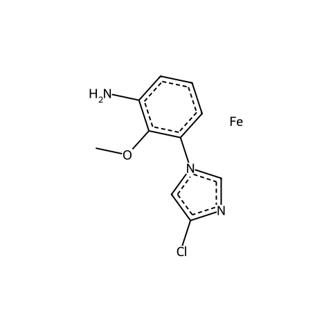 COc1c(N)cccc1-n1cnc(Cl)c1.[Fe]